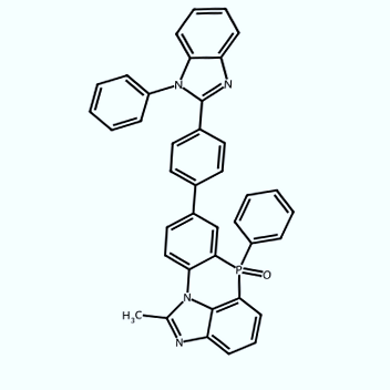 Cc1nc2cccc3c2n1-c1ccc(-c2ccc(-c4nc5ccccc5n4-c4ccccc4)cc2)cc1P3(=O)c1ccccc1